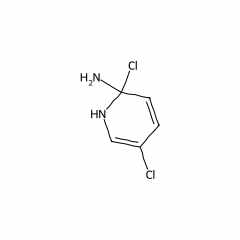 NC1(Cl)C=CC(Cl)=CN1